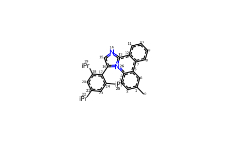 Cc1ccc2c(c1)c1ccccc1c1ncc(-c3c(C(C)C)cc(C(C)C)cc3C(C)C)n21